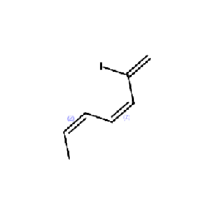 C=C(I)/C=C\C=C/C